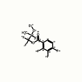 CCO[Si](C)(C)C(F)(F)OC(=O)c1ccc(F)c(F)c1F